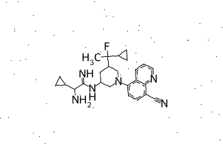 CC(F)(C1CC1)C1CC(NC(=N)C(N)C2CC2)CN(c2ccc(C#N)c3ncccc23)C1